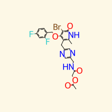 CC(=O)OCC(=O)NCc1cnc(Cc2c(C)[nH]c(=O)c(Br)c2OCc2ccc(F)cc2F)cn1